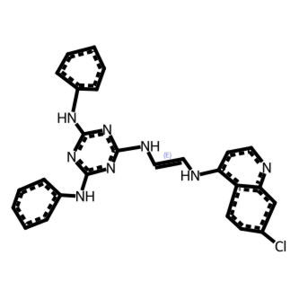 Clc1ccc2c(N/C=C/Nc3nc(Nc4ccccc4)nc(Nc4ccccc4)n3)ccnc2c1